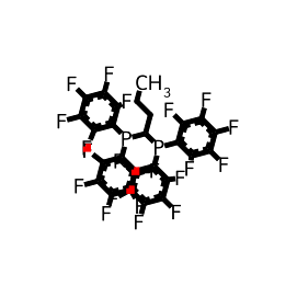 CCCC(P(c1c(F)c(F)c(F)c(F)c1F)c1c(F)c(F)c(F)c(F)c1F)P(c1c(F)c(F)c(F)c(F)c1F)c1c(F)c(F)c(F)c(F)c1F